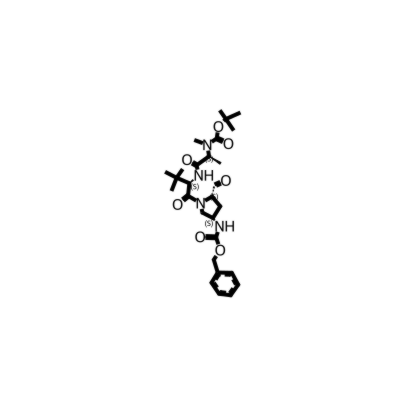 C[C@@H](C(=O)N[C@H](C(=O)N1C[C@@H](NC(=O)OCc2ccccc2)C[C@H]1C=O)C(C)(C)C)N(C)C(=O)OC(C)(C)C